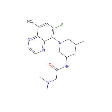 CC1CC(NC(=O)CN(C)C)CN(c2c(F)cc(C#N)c3nccnc23)C1